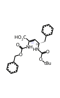 CC(C)(C)OC(=O)N[C@H](/C=C(\NC(=O)OCc1ccccc1)C(=O)O)Cc1ccccc1